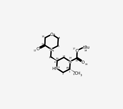 C[C@@H]1CN[C@@H](CN2CCOCC2=O)CN1C(=O)OC(C)(C)C